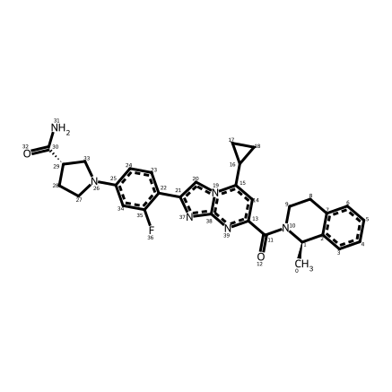 C[C@@H]1c2ccccc2CCN1C(=O)c1cc(C2CC2)n2cc(-c3ccc(N4CC[C@H](C(N)=O)C4)cc3F)nc2n1